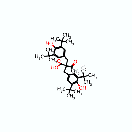 CC(=O)C(Cc1cc(C(C)(C)C)c(O)c(C(C)(C)C)c1)(Cc1cc(C(C)(C)C)c(O)c(C(C)(C)C)c1)C(=O)O